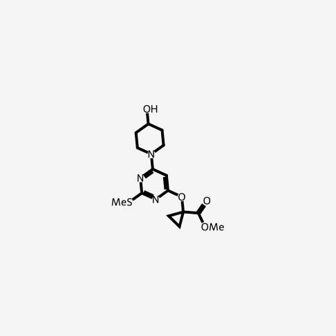 COC(=O)C1(Oc2cc(N3CCC(O)CC3)nc(SC)n2)CC1